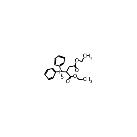 CCOC(=O)CC(C(=O)OCC)P(=S)(c1ccccc1)c1ccccc1